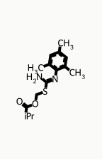 Cc1cc(C)c(/N=C(\N)SCOC(=O)C(C)C)c(C)c1